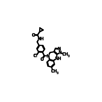 Cc1ccc2c(c1)Nc1c(cnn1C)CN2C(=O)c1ccc(CNC(=O)C2CC2)cc1Cl